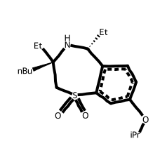 CCCC[C@]1(CC)CS(=O)(=O)c2cc(OC(C)C)ccc2[C@@H](CC)N1